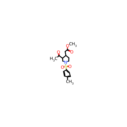 COC(=O)CC1CCN(S(=O)(=O)c2ccc(C)cc2)CC1C(C)=O